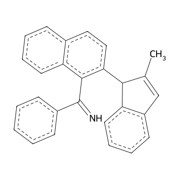 CC1=Cc2ccccc2C1c1ccc2ccccc2c1C(=N)c1ccccc1